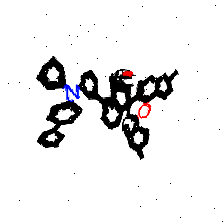 Cc1ccc2c3c(ccc2c1)C1(c2ccccc2-c2c(-c4cccc(N(c5ccccc5)c5ccc(-c6ccccc6)cc5)c4)cccc21)c1ccc2cc(C)ccc2c1O3